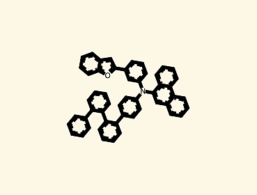 c1ccc(-c2ccccc2-c2ccccc2-c2ccc(N(c3cccc(-c4cc5ccccc5o4)c3)c3cc4ccccc4c4ccccc34)cc2)cc1